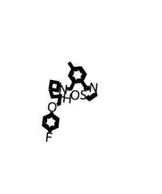 Cc1ccc(-c2nccs2)c(C(=O)N2C3CC(C3)C[C@@H]2COc2ccc(F)cc2)c1